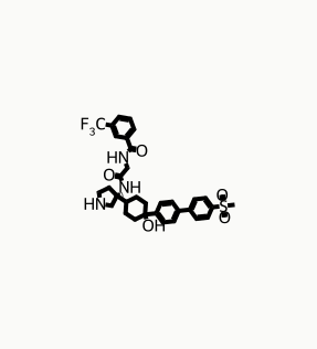 CS(=O)(=O)c1ccc(-c2ccc(C3(O)CCC([C@]4(NC(=O)CNC(=O)c5cccc(C(F)(F)F)c5)CCNC4)CC3)cc2)cc1